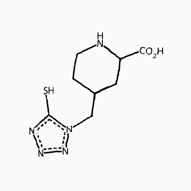 O=C(O)C1CC(Cn2nnnc2S)CCN1